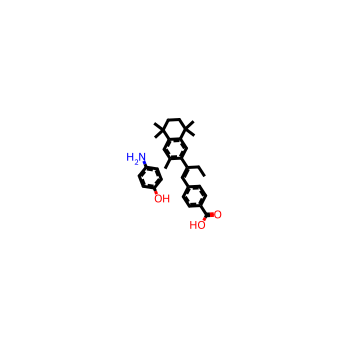 CCC(=Cc1ccc(C(=O)O)cc1)c1cc2c(cc1C)C(C)(C)CCC2(C)C.Nc1ccc(O)cc1